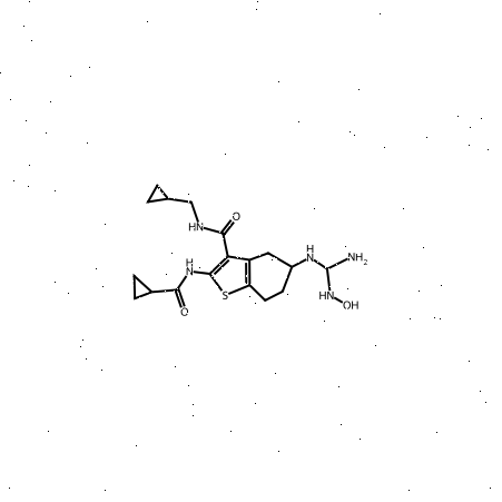 NC(NO)NC1CCc2sc(NC(=O)C3CC3)c(C(=O)NCC3CC3)c2C1